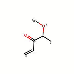 C=CC(=O)C(C)OC(C)=O